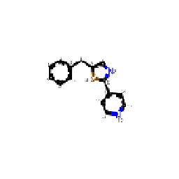 c1ccc(Cc2cnc(-c3ccncc3)s2)cc1